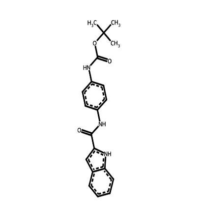 CC(C)(C)OC(=O)Nc1ccc(NC(=O)c2cc3ccccc3[nH]2)cc1